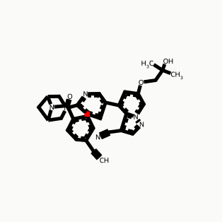 C#Cc1ccc(C(=O)N2C3CC2CN(c2ccc(-c4cc(OCC(C)(C)O)cn5ncc(C#N)c45)cn2)C3)cc1